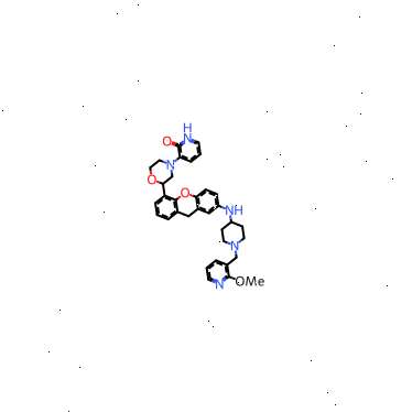 COc1ncccc1CN1CCC(Nc2ccc3c(c2)Cc2cccc(C4CN(c5ccc[nH]c5=O)CCO4)c2O3)CC1